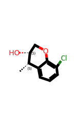 C[C@H]1c2cccc(Cl)c2OC[C@H]1O